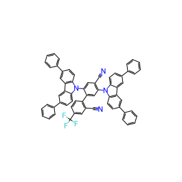 N#Cc1cc(C(F)(F)F)ccc1-c1cc(-n2c3ccc(-c4ccccc4)cc3c3cc(-c4ccccc4)ccc32)c(C#N)cc1-n1c2ccc(-c3ccccc3)cc2c2cc(-c3ccccc3)ccc21